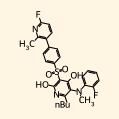 CCCCc1nc(O)c(S(=O)(=O)c2ccc(-c3ccc(F)nc3C)cc2)c(O)c1N(C)c1ccccc1F